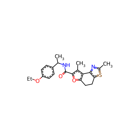 CCOc1ccc(C(C)NC(=O)c2oc3c(c2C)-c2nc(C)sc2CC3)cc1